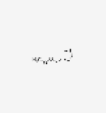 COOCC1CCOC1